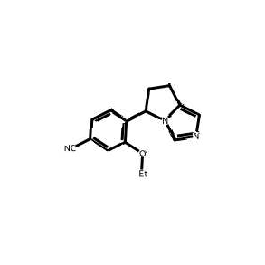 CCOc1cc(C#N)ccc1C1CCc2cncn21